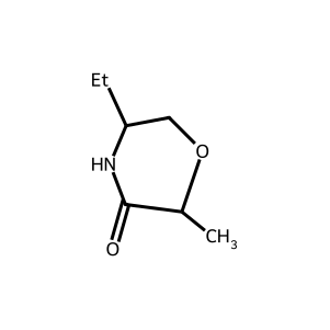 CCC1COC(C)C(=O)N1